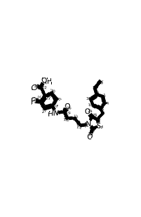 CCc1ccc(CC2SC(=O)N(CCCC(=O)Nc3ccc(C(=O)O)c(F)c3)C2=O)cc1